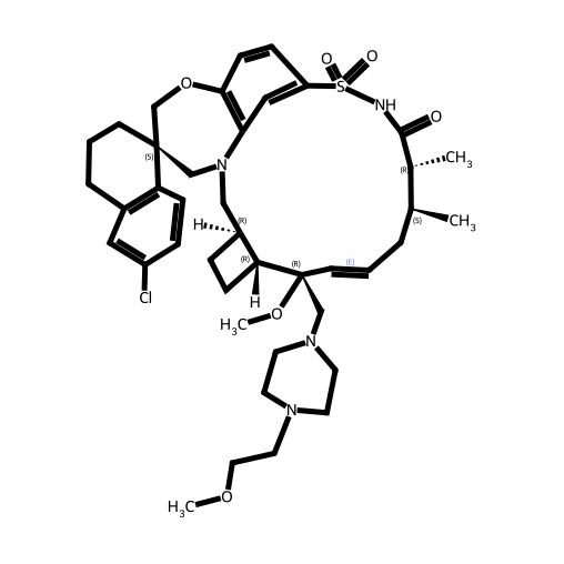 COCCN1CCN(C[C@]2(OC)/C=C/C[C@H](C)[C@@H](C)C(=O)NS(=O)(=O)c3ccc4c(c3)N(C[C@@H]3CC[C@H]32)C[C@@]2(CCCc3cc(Cl)ccc32)CO4)CC1